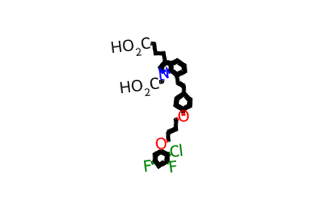 O=C(O)CCCc1cn(CC(=O)O)c2c(C=Cc3ccc(OCC=CCOc4cc(F)cc(F)c4Cl)cc3)cccc12